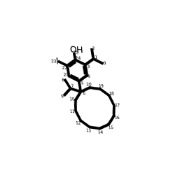 CC(C)c1cc(C2(C(C)C)CCCCCCCCCCC2)cc(I)c1O